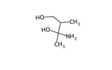 CC(CO)C(C)(N)O